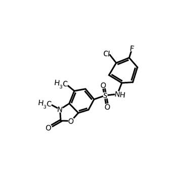 Cc1cc(S(=O)(=O)Nc2ccc(F)c(Cl)c2)cc2oc(=O)n(C)c12